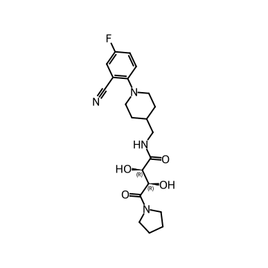 N#Cc1cc(F)ccc1N1CCC(CNC(=O)[C@H](O)[C@@H](O)C(=O)N2CCCC2)CC1